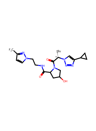 CC(C)(C)[C@@H](C(=O)N1CC(O)CC1C(=O)NCCn1ccc(C(F)(F)F)n1)n1cc(C2CC2)nn1